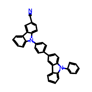 N#Cc1ccc2c(c1)c1ccccc1n2-c1ccc(-c2ccc3c(c2)c2ccccc2n3-c2ccccc2)cc1